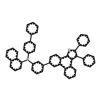 c1ccc(-c2ccc(N(c3cccc(-c4ccc5c(c4)c4ccccc4c4c(-c6ccccc6)c(-c6ccccc6)oc54)c3)c3cccc4ccccc34)cc2)cc1